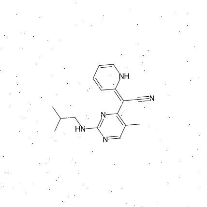 Cc1cnc(NCC(C)C)nc1/C(C#N)=C1\C=CC=CN1